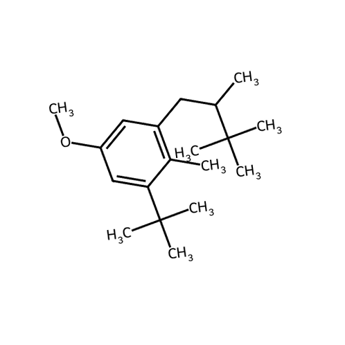 COc1cc(CC(C)C(C)(C)C)c(C)c(C(C)(C)C)c1